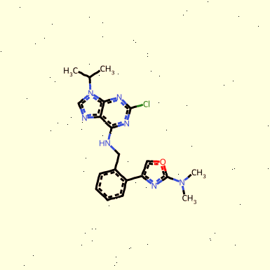 CC(C)n1cnc2c(NCc3ccccc3-c3coc(N(C)C)n3)nc(Cl)nc21